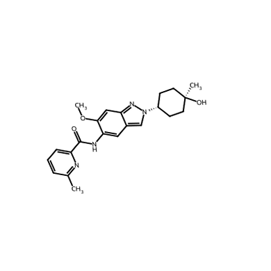 COc1cc2nn([C@H]3CC[C@](C)(O)CC3)cc2cc1NC(=O)c1cccc(C)n1